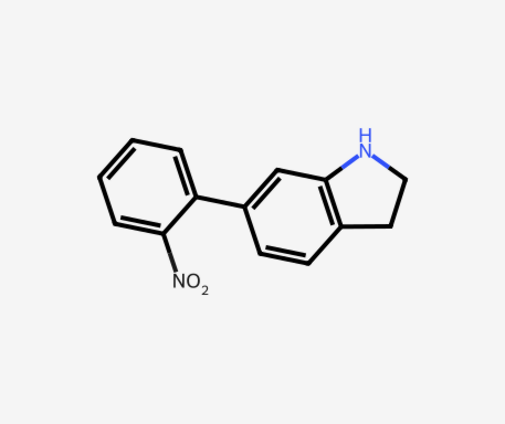 O=[N+]([O-])c1ccccc1-c1ccc2c(c1)NCC2